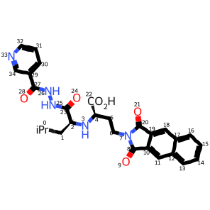 CC(C)C[C@H](N[C@H](CCN1C(=O)c2cc3ccccc3cc2C1=O)C(=O)O)C(=O)NNC(=O)c1cccnc1